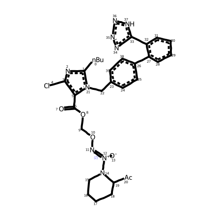 CCCCc1nc(Cl)c(C(=O)OCO/N=[N+](\[O-])N2CCCCC2C(C)=O)n1Cc1ccc(-c2ccccc2-c2nnn[nH]2)cc1